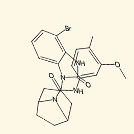 COc1cc(NC(=O)N2C3CCC2CC(n2c(=O)[nH]c4c(Br)cccc42)C3)ccc1C